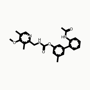 COc1c(C)cnc(CNC(=O)Oc2cc(C)cc(-c3ccccc3NC(C)=O)c2)c1C